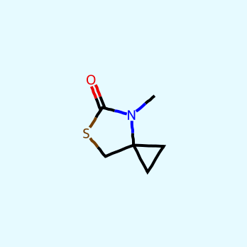 CN1C(=O)SCC12CC2